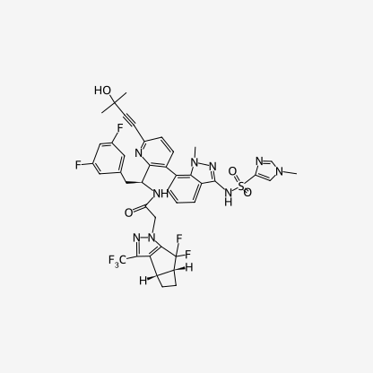 Cn1cnc(S(=O)(=O)Nc2nn(C)c3c(-c4ccc(C#CC(C)(C)O)nc4[C@H](Cc4cc(F)cc(F)c4)NC(=O)Cn4nc(C(F)(F)F)c5c4C(F)(F)[C@@H]4CC[C@H]54)cccc23)c1